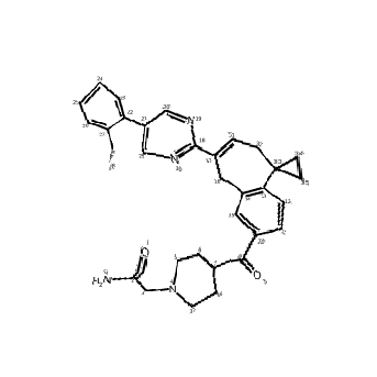 NC(=O)CN1CCC(C(=O)c2ccc3c(c2)CC(c2ncc(-c4ccccc4F)cn2)=CCC32CC2)CC1